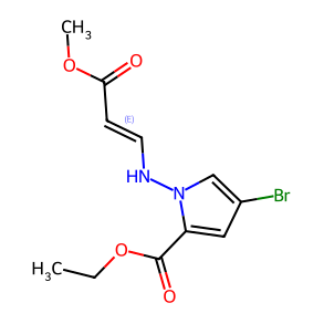 CCOC(=O)c1cc(Br)cn1N/C=C/C(=O)OC